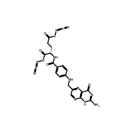 [N-]=[N+]=NOC(=O)CC[C@H](NC(=O)c1ccc(NCc2cnc3[nH]c(N)nc(=O)c3n2)cc1)C(=O)ON=[N+]=[N-]